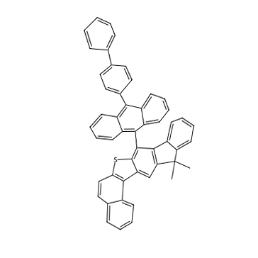 CC1(C)c2ccccc2-c2c1cc1c(sc3ccc4ccccc4c31)c2-c1c2ccccc2c(-c2ccc(-c3ccccc3)cc2)c2ccccc12